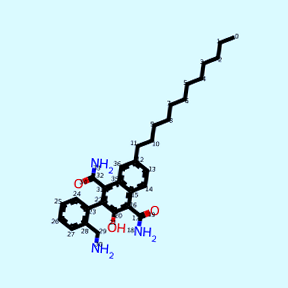 CCCCCCCCCCCCc1ccc2c(C(N)=O)c(O)c(-c3ccccc3CN)c(C(N)=O)c2c1